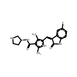 Cc1[nH]c(/C=C2\C(=O)Nc3ccc(F)cc32)c(C)c1C(=O)N[C@H]1CCNC1